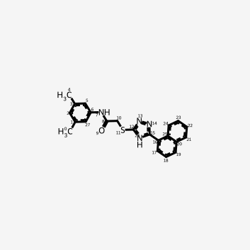 Cc1cc(C)cc(NC(=O)CSc2nnc(-c3cccc4ccccc34)[nH]2)c1